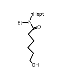 CCCCCCCN(CC)C(=O)CCCCCO